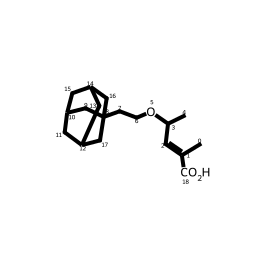 C/C(=C\C(C)OCCC12CC3CC(CC(C3)C1)C2)C(=O)O